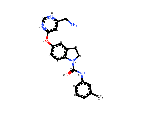 NCc1cc(Oc2ccc3c(c2)CCN3C(=O)Nc2cccc(C(F)(F)F)c2)ncn1